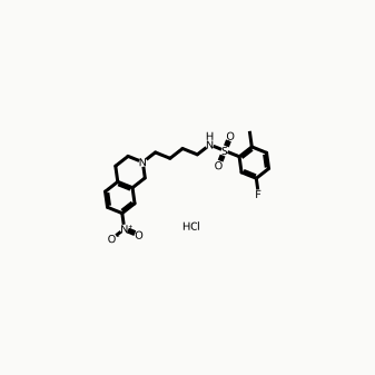 Cc1ccc(F)cc1S(=O)(=O)NCCCCN1CCc2ccc([N+](=O)[O-])cc2C1.Cl